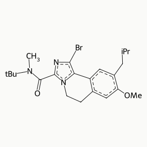 COc1cc2c(cc1CC(C)C)-c1c(Br)nc(C(=O)N(C)C(C)(C)C)n1CC2